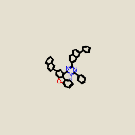 c1ccc(C2=NC(c3ccc4ccc(-c5ccccc5)cc4c3)=NC(c3cc(-c4ccc5ccccc5c4)cc4oc5ccccc5c34)N2)cc1